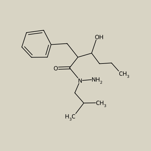 CCCC(O)C(Cc1ccccc1)C(=O)N(N)CC(C)C